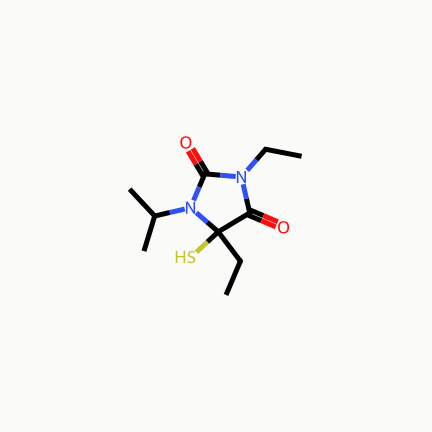 CCN1C(=O)N(C(C)C)C(S)(CC)C1=O